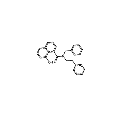 O=C(c1cccc2cccc(O)c12)N(CCc1ccccc1)Cc1ccccc1